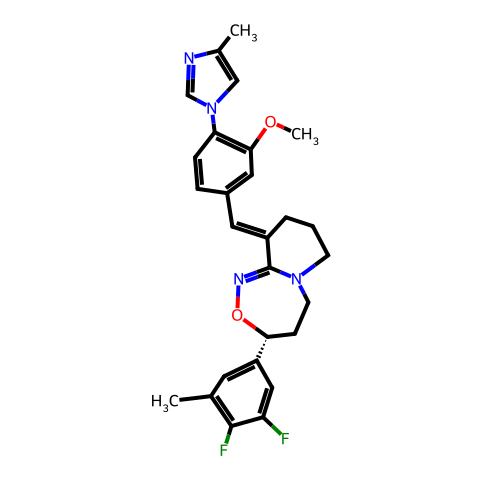 COc1cc(/C=C2\CCCN3CC[C@H](c4cc(C)c(F)c(F)c4)ON=C23)ccc1-n1cnc(C)c1